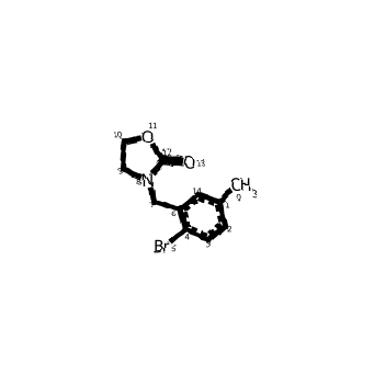 Cc1ccc(Br)c(CN2CCOC2=O)c1